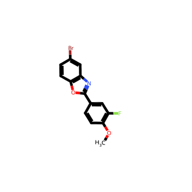 COc1ccc(-c2nc3cc(Br)ccc3o2)cc1F